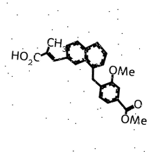 COC(=O)c1ccc(Cc2cccc3ccc(C=C(C)C(=O)O)cc23)c(OC)c1